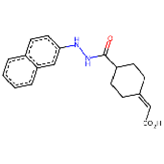 O=C(O)C=C1CCC(C(=O)NNc2ccc3ccccc3c2)CC1